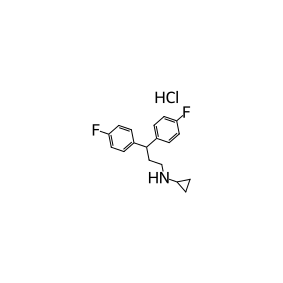 Cl.Fc1ccc(C(CCNC2CC2)c2ccc(F)cc2)cc1